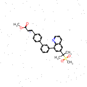 COC(=O)/C=C/c1ccc(-c2cccc(-c3cc(C(C)(C)S(C)(=O)=O)cc4cccnc34)c2)cc1